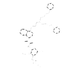 COc1c(NC(=O)C(=O)c2ccc(OCCN(CCOCc3ccccc3)CCOCc3ccccc3)c3ccccc23)cc(C(C)(C)C)cc1NS(C)(=O)=O